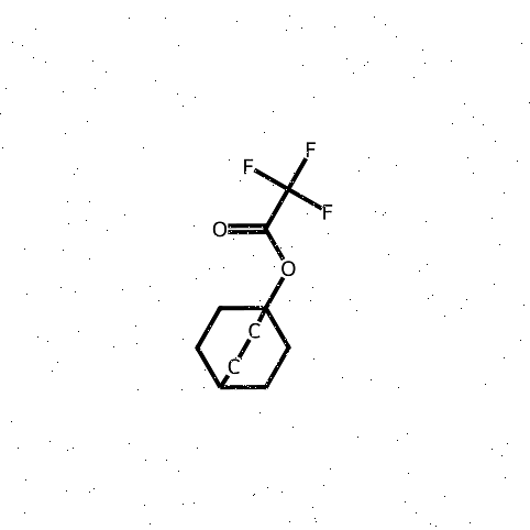 O=C(OC12CCC(CC1)CC2)C(F)(F)F